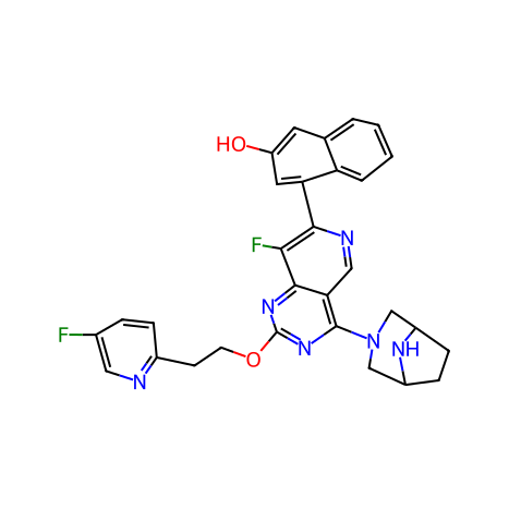 Oc1cc(-c2ncc3c(N4CC5CCC(C4)N5)nc(OCCc4ccc(F)cn4)nc3c2F)c2ccccc2c1